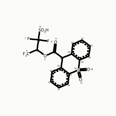 O=C(OC(C(F)(F)F)C(F)(F)S(=O)(=O)O)C1c2ccccc2S(=O)(=O)c2ccccc21